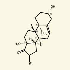 CC(C)C1C[C@H]2[C@@H]3CC=C4C[C@@H](O)CC[C@]4(C)[C@H]3CC[C@]2(C)C1=O